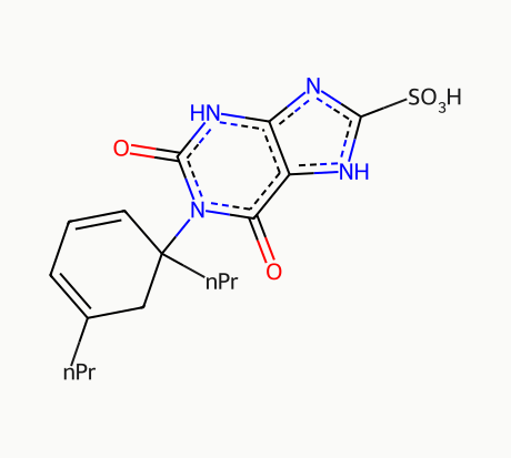 CCCC1=CC=CC(CCC)(n2c(=O)[nH]c3nc(S(=O)(=O)O)[nH]c3c2=O)C1